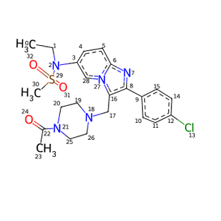 CCN(c1ccc2nc(-c3ccc(Cl)cc3)c(CN3CCN(C(C)=O)CC3)n2c1)S(C)(=O)=O